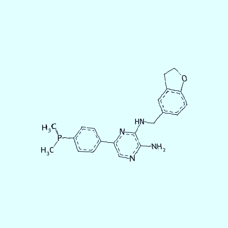 CP(C)c1ccc(-c2cnc(N)c(NCc3ccc4c(c3)CCO4)n2)cc1